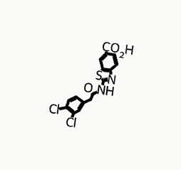 O=C(Cc1ccc(Cl)c(Cl)c1)Nc1nc2ccc(C(=O)O)cc2s1